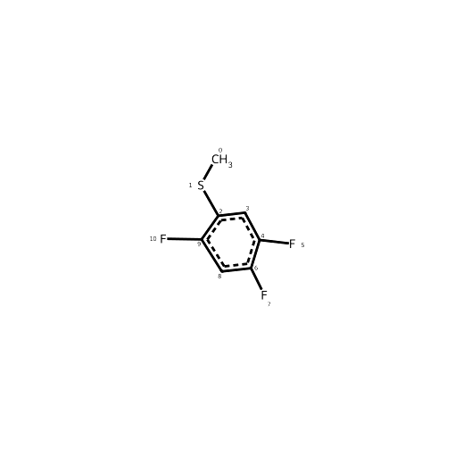 CSc1cc(F)c(F)cc1F